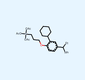 CCCC(CC)c1ccc(OCCC[Si](OC(C)=O)(OC(C)=O)OC(C)=O)c(C2CCCCC2)c1